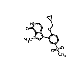 Cn1cc(-c2cc(S(C)(=O)=O)ccc2OCC2CC2)c2cc[nH]c(=O)c21